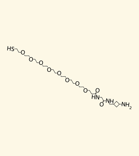 NC1CC(CNC(=O)CNC(=O)CCOCCOCCOCCOCCOCCOCCOCCOCCS)C1